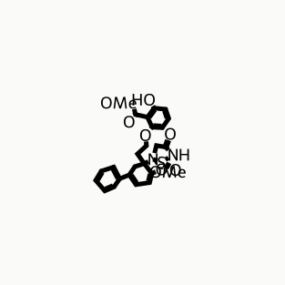 COC(=O)c1c(O)cccc1OCCC1(N2CC(=O)NS2(=O)=O)CC(c2ccccc2)=CC=C1OC